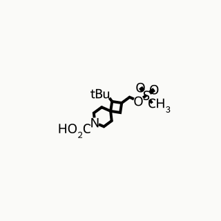 CC(C)(C)C1C(COS(C)(=O)=O)CC12CCN(C(=O)O)CC2